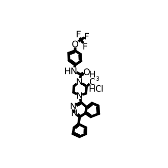 CC1CN(c2nnc(-c3ccccc3)c3ccccc23)CCN1C(=O)Nc1ccc(OC(F)(F)F)cc1.Cl